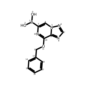 OB(O)c1cn2ncnc2c(OCc2ccccc2)n1